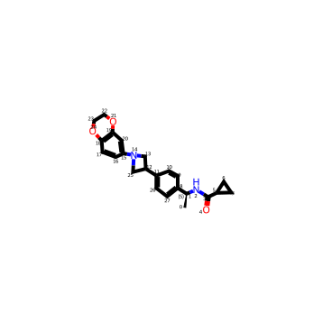 C[C@H](NC(=O)C1CC1)c1ccc(C2CN(c3ccc4c(c3)OCCO4)C2)cc1